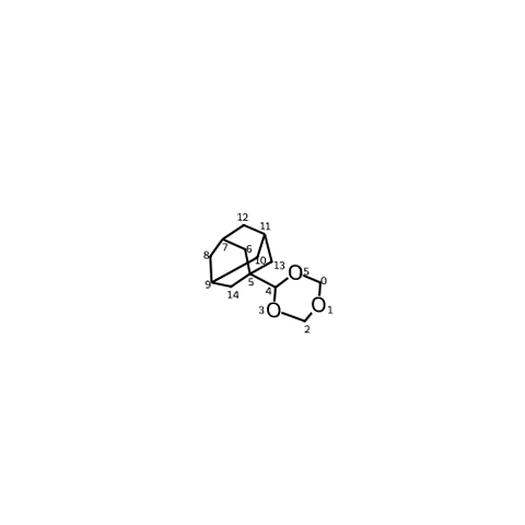 C1OCOC(C23CC4CC(CC(C4)C2)C3)O1